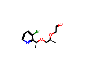 C[C@H](OC[C@H](C)OCC=O)c1ncccc1Br